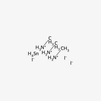 C[NH3+].C[NH3+].C[NH3+].[I-].[I-].[I-].[SnH4]